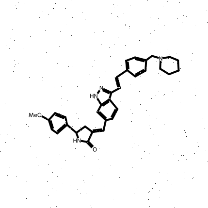 COc1ccc(C2CC(=Cc3ccc4c(C=Cc5ccc(CN6CCCCC6)cc5)n[nH]c4c3)C(=O)N2)cc1